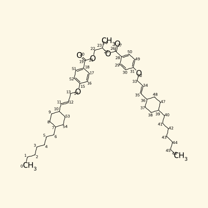 CCCCCCCC1CCC(C=CCOc2ccc(C(=O)OCC(C)OC(=O)c3ccc(OCC=CC4CCC(CCCCCCC)CC4)cc3)cc2)CC1